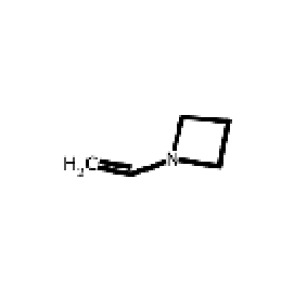 C=CN1CCC1